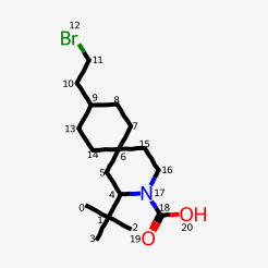 CC(C)(C)C1CC2(CCC(CCBr)CC2)CCN1C(=O)O